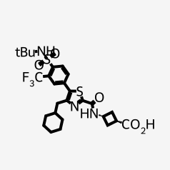 CC(C)(C)NS(=O)(=O)c1ccc(-c2sc(C(=O)N[C@H]3C[C@H](C(=O)O)C3)nc2CC2CCCCC2)cc1C(F)(F)F